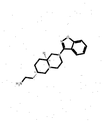 NCC[C@@H]1CC[C@H]2CN(c3noc4ccccc34)CCN2C1